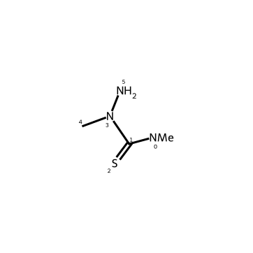 CNC(=S)N(C)N